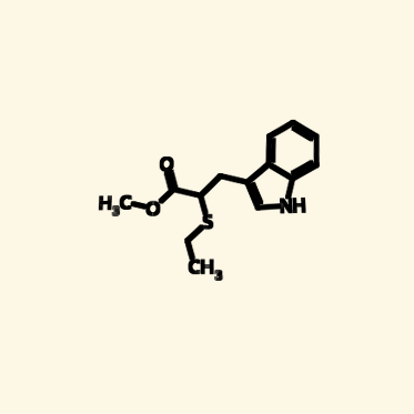 CCSC(Cc1c[nH]c2ccccc12)C(=O)OC